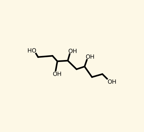 OCCC(O)CC(O)C(O)CCO